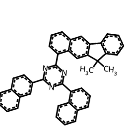 CC1(C)c2ccccc2-c2cc3cccc(-c4nc(-c5ccc6ccccc6c5)nc(-c5cccc6ccccc56)n4)c3cc21